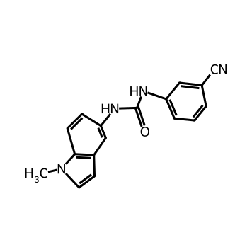 Cn1ccc2cc(NC(=O)Nc3cccc(C#N)c3)ccc21